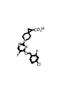 O=C(O)C1CC12CCN(c1ncc(F)c(OCc3ccc(Cl)cc3F)n1)CC2